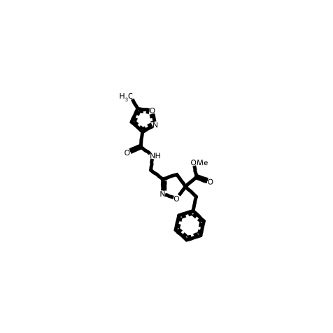 COC(=O)C1(Cc2ccccc2)CC(CNC(=O)c2cc(C)on2)=NO1